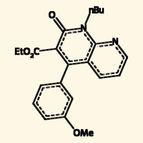 CCCCn1c(=O)c(C(=O)OCC)c(-c2cccc(OC)c2)c2cccnc21